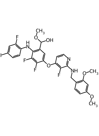 COc1ccc(CNc2nccc(Oc3cc(C(O)OC)c(Nc4ccc(I)cc4F)c(F)c3F)c2F)c(OC)c1